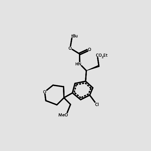 CCOC(=O)C[C@H](NC(=O)OC(C)(C)C)c1cc(Cl)cc(C2(COC)CCOCC2)c1